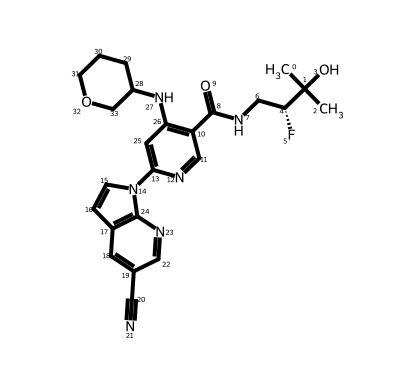 CC(C)(O)[C@H](F)CNC(=O)c1cnc(-n2ccc3cc(C#N)cnc32)cc1NC1CCCOC1